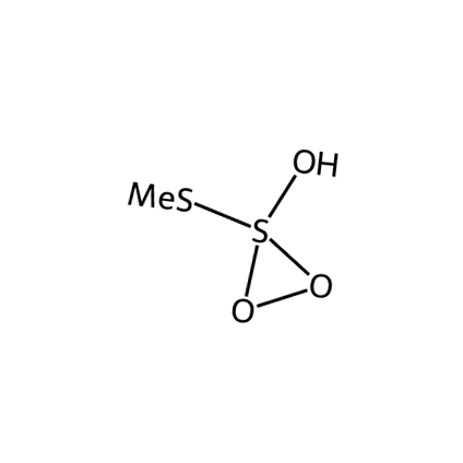 CSS1(O)OO1